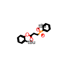 CC(C)(C)OP(=O)(CCC(=O)Oc1ccccc1C(C)(C)C)c1ccccc1